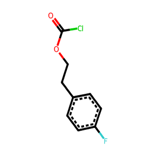 O=C(Cl)OCCc1ccc(F)cc1